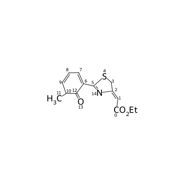 CCOC(=O)/C=C1/CSC(C2=CC=CC(C)C2=O)=N1